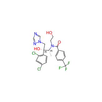 C[C@@H](N(CCO)C(=O)c1ccc(C(F)(F)F)cc1)[C@](O)(Cn1cncn1)c1ccc(Cl)cc1Cl